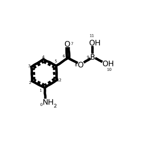 Nc1cccc(C(=O)OB(O)O)c1